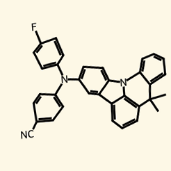 CC1(C)c2ccccc2-n2c3ccc(N(c4ccc(F)cc4)c4ccc(C#N)cc4)cc3c3cccc1c32